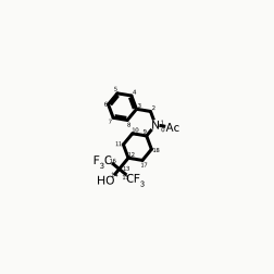 CC(=O)N(Cc1ccccc1)C1CCC(C(O)(C(F)(F)F)C(F)(F)F)CC1